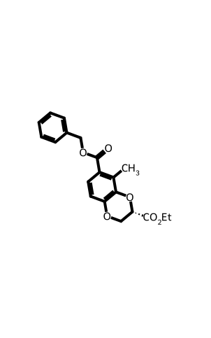 CCOC(=O)[C@@H]1COc2ccc(C(=O)OCc3ccccc3)c(C)c2O1